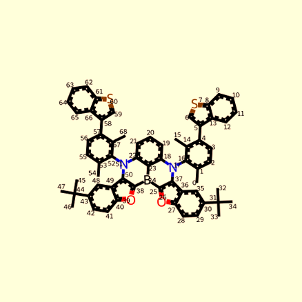 Cc1ccc(-c2csc3ccccc23)c(C)c1N1c2cccc3c2B(c2oc4ccc(C(C)(C)C)cc4c21)c1oc2ccc(C(C)(C)C)cc2c1N3c1c(C)ccc(-c2csc3ccccc23)c1C